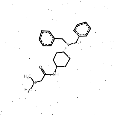 CN(C)CC(=O)N[C@H]1CC[C@H](N(Cc2ccccc2)Cc2ccccc2)CC1